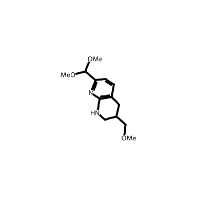 COCC1CNc2nc(C(OC)OC)ccc2C1